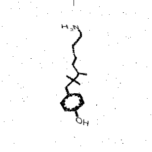 CC(CCCCN)C(C)(C)Cc1ccc(O)cc1